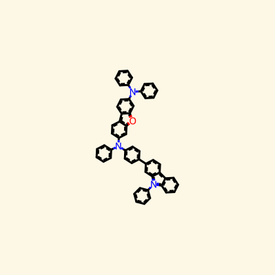 c1ccc(N(c2ccccc2)c2ccc3c(c2)oc2cc(N(c4ccccc4)c4ccc(-c5ccc6c7ccccc7n(-c7ccccc7)c6c5)cc4)ccc23)cc1